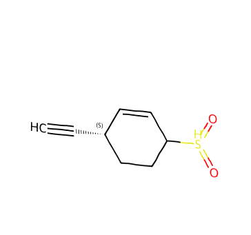 C#C[C@@H]1C=CC([SH](=O)=O)CC1